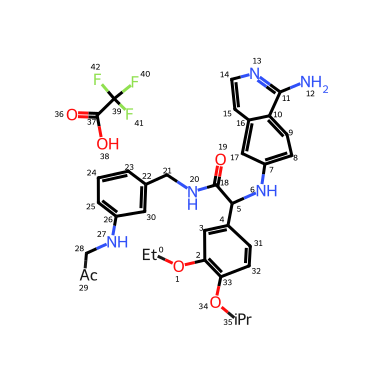 CCOc1cc(C(Nc2ccc3c(N)nccc3c2)C(=O)NCc2cccc(NCC(C)=O)c2)ccc1OC(C)C.O=C(O)C(F)(F)F